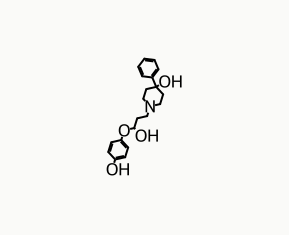 Oc1ccc(OC(O)CCN2CCC(O)(c3ccccc3)CC2)cc1